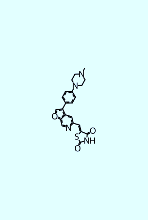 CN1CCN(c2ccc(-c3coc4cnc(/C=C5\SC(=O)NC5=O)cc34)cc2)CC1